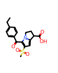 CCc1ccc(C(=O)c2c(S(C)(=O)=O)cc3n2CCC3C(=O)O)cc1